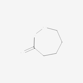 O=C1[CH]CCCOS1